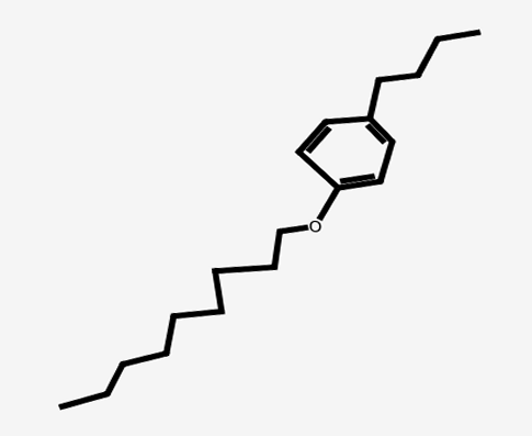 CCCCCCCCCOc1ccc(CCCC)cc1